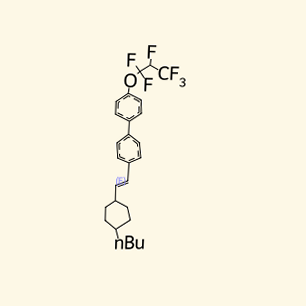 CCCCC1CCC(/C=C/c2ccc(-c3ccc(OC(F)(F)C(F)C(F)(F)F)cc3)cc2)CC1